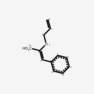 C=CCOC(=Cc1ccccc1)C(=O)O